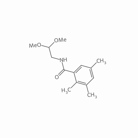 COC(CNC(=O)c1cc(C)cc(C)c1C)OC